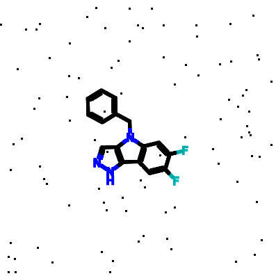 Fc1cc2c3[nH]ncc3n(Cc3ccccc3)c2cc1F